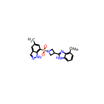 COc1cccc2[nH]c(C3CN(S(=O)(=O)c4cc(C)cc5cn[nH]c45)C3)nc12